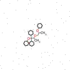 CC(COC(C)C(Oc1ccccc1)(c1ccccc1)c1ccccc1)Oc1ccccc1